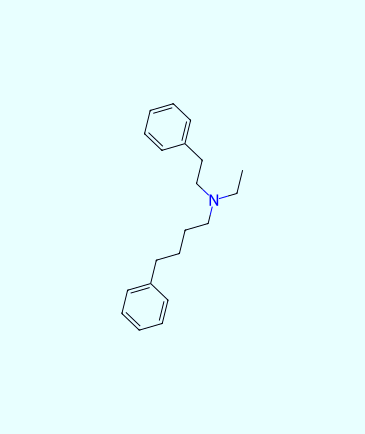 CCN(CCCCc1ccccc1)CCc1ccccc1